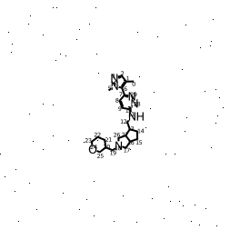 Cc1cnn(C)c1-c1ccc(NCC2CCC3CN(CC4CCCOC4)CC23)nn1